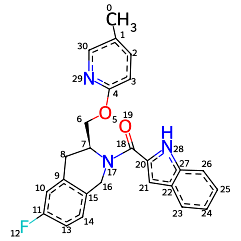 Cc1ccc(OC[C@@H]2Cc3cc(F)ccc3CN2C(=O)c2cc3ccccc3[nH]2)nc1